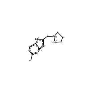 Cc1ccc2[nH]c(C[C@H]3CCCN3)cc2n1